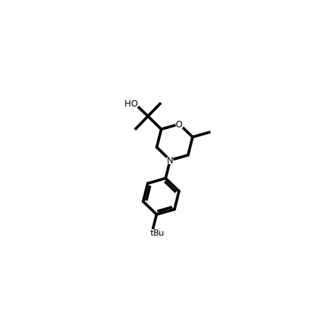 CC1CN(c2ccc(C(C)(C)C)cc2)CC(C(C)(C)O)O1